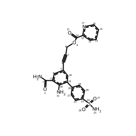 NC(=O)c1cc(C#CCOC(=O)c2ccccn2)cc(-c2ccc(S(N)(=O)=O)cc2)c1N